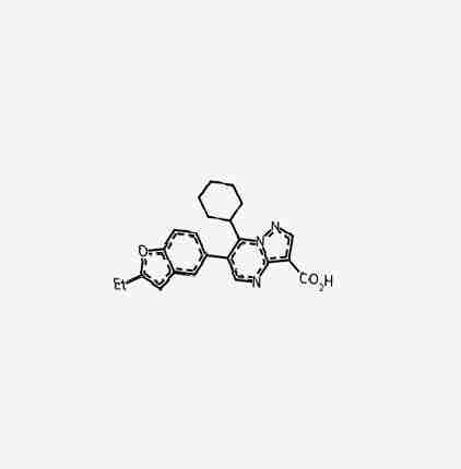 CCc1cc2cc(-c3cnc4c(C(=O)O)cnn4c3C3CCCCC3)ccc2o1